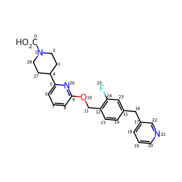 O=C(O)N1CCC(c2cccc(OCc3ccc(Cc4cccnc4)cc3F)n2)CC1